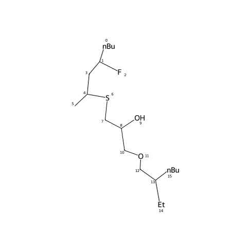 CCCCC(F)CC(C)SCC(O)COCC(CC)CCCC